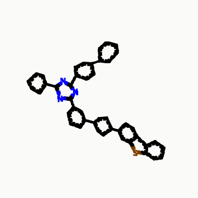 c1ccc(-c2ccc(-c3nc(-c4ccccc4)nc(-c4cccc(-c5ccc(-c6ccc7c(c6)sc6ccccc67)cc5)c4)n3)cc2)cc1